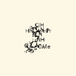 CCCNc1nc(Nc2ccc(S(C)(=O)=O)cc2OC)nc2[nH]cc(Cl)c12